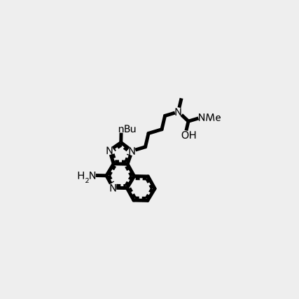 CCCCc1nc2c(N)nc3ccccc3c2n1CCCCN(C)C(O)NC